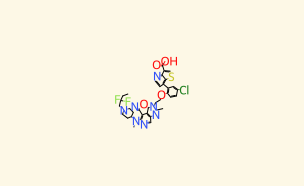 CCC(F)(F)CN1CCC(N(C)c2ncc3nc(C)n(CCOc4ccc(Cl)cc4-c4ccnc5c(C(=O)O)csc45)c(=O)c3c2C#N)CC1